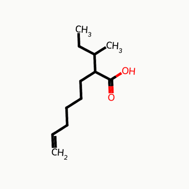 C=CCCCCC(C(=O)O)C(C)CC